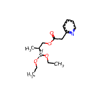 CCO[SiH](OCC)C(C)COC(=O)Cc1ccccn1